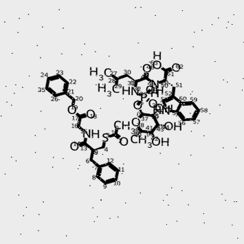 CC(=O)SC[C@@H](Cc1ccccc1)C(=O)NCC(=O)OCc1ccccc1.CC(C)C[C@H](NP(=O)(O)O[C@@H]1O[C@@H](C)[C@H](O)[C@@H](O)[C@H]1O)C(=O)N[C@@H](Cc1c[nH]c2ccccc12)C(=O)O